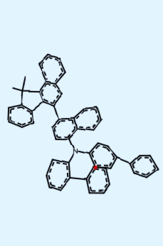 CC1(C)c2ccccc2-c2c(-c3ccc(N(c4ccc(-c5ccccc5)cc4)c4ccccc4-c4ccccc4)c4ccccc34)cc3ccccc3c21